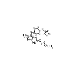 COCCOc1ncc2nc(N)n(Cc3ccc(CN4CCCC4)cc3)c2n1